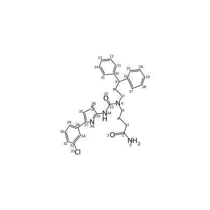 NC(=O)CCCN(CCC(c1ccccc1)c1ccccc1)C(=O)Nc1nc(-c2cccc(Cl)c2)cs1